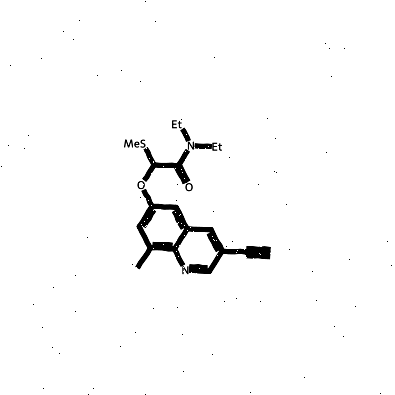 C#Cc1cnc2c(C)cc(OC(SC)C(=O)N(CC)CC)cc2c1